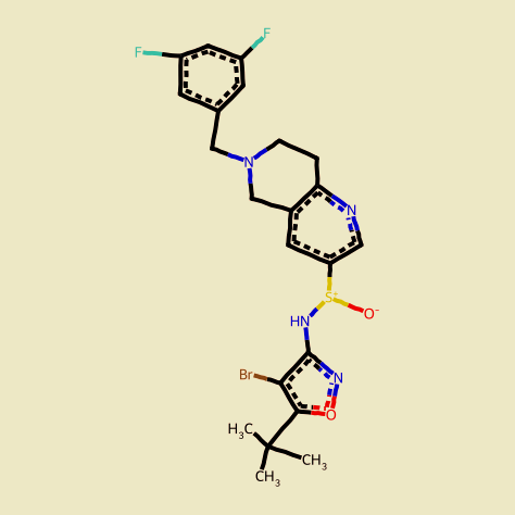 CC(C)(C)c1onc(N[S+]([O-])c2cnc3c(c2)CN(Cc2cc(F)cc(F)c2)CC3)c1Br